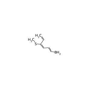 B/C=C/C=C(\C=C)SC